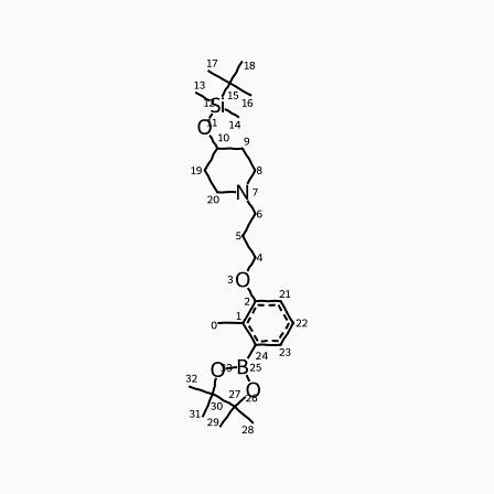 Cc1c(OCCCN2CCC(O[Si](C)(C)C(C)(C)C)CC2)cccc1B1OC(C)(C)C(C)(C)O1